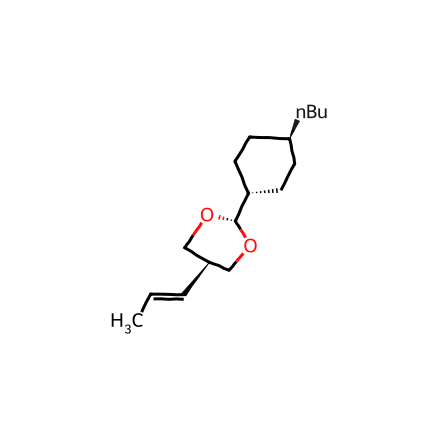 CC=C[C@H]1CO[C@H]([C@H]2CC[C@H](CCCC)CC2)OC1